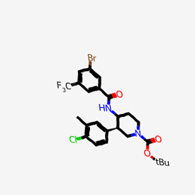 Cc1cc([C@@H]2CN(C(=O)OC(C)(C)C)CCC2NC(=O)c2cc(Br)cc(C(F)(F)F)c2)ccc1Cl